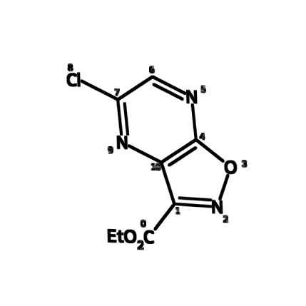 CCOC(=O)c1noc2ncc(Cl)nc12